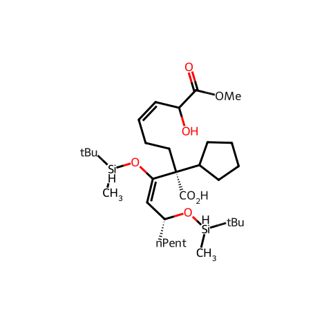 CCCCC[C@H](/C=C(/O[SiH](C)C(C)(C)C)[C@](CC/C=C\C(O)C(=O)OC)(C(=O)O)C1CCCC1)O[SiH](C)C(C)(C)C